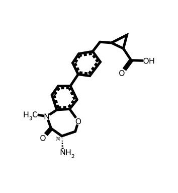 CN1C(=O)[C@@H](N)COc2cc(-c3ccc(CC4CC4C(=O)O)cc3)ccc21